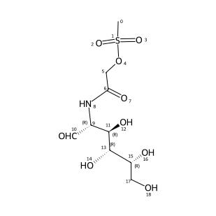 CS(=O)(=O)OCC(=O)N[C@@H](C=O)[C@@H](O)[C@@H](O)[C@H](O)CO